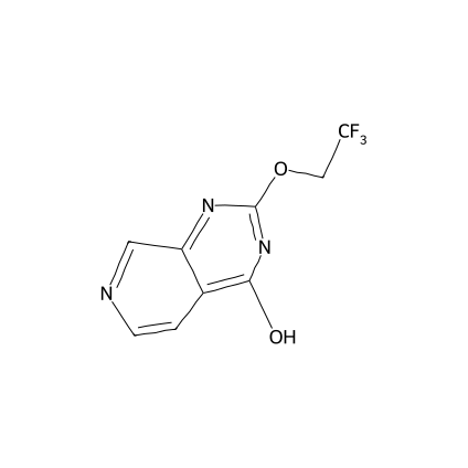 Oc1nc(OCC(F)(F)F)nc2cnccc12